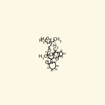 CC[N+](CC)(CC)CCOCC(C)(C)CC(CCC(C)N1CCCC1=O)N1CCCCCC1=O